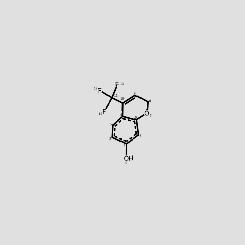 Oc1ccc2c(c1)OCC=C2C(F)(F)F